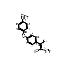 CCCC(F)=C(F)c1ccc(Oc2ccc(CCC)cc2)cc1